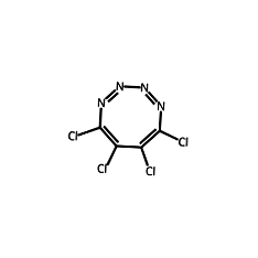 ClC1=C(Cl)C(Cl)=C(Cl)N=NN=N1